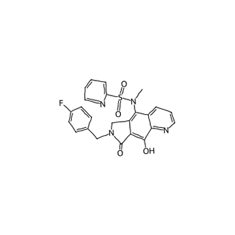 CN(c1c2c(c(O)c3ncccc13)C(=O)N(Cc1ccc(F)cc1)C2)S(=O)(=O)c1ccccn1